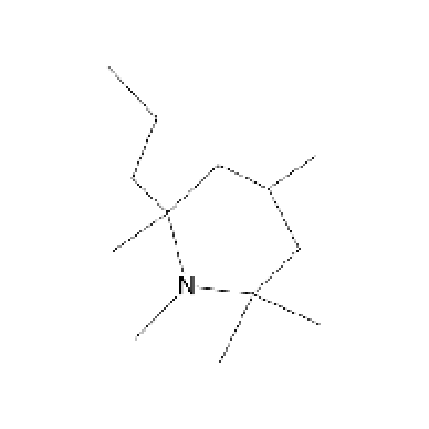 CCCC1(C)CC(C)CC(C)(C)N1C